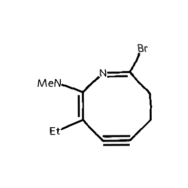 CC/C1=C(NC)/N=C(/Br)CCC#C1